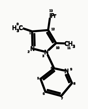 Cc1nn(-c2ccccn2)c(C)c1C(C)C